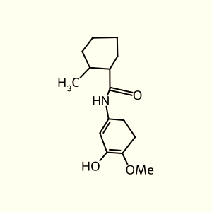 COC1=C(O)C=C(NC(=O)C2CCCCC2C)CC1